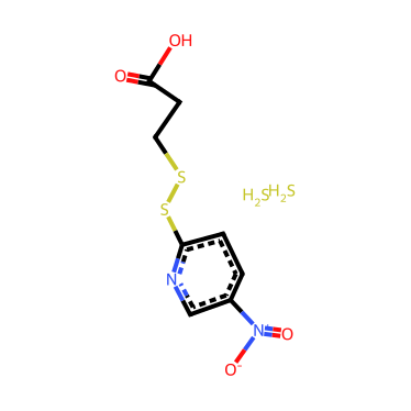 O=C(O)CCSSc1ccc([N+](=O)[O-])cn1.S.S